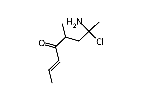 CC=CC(=O)C(C)CC(C)(N)Cl